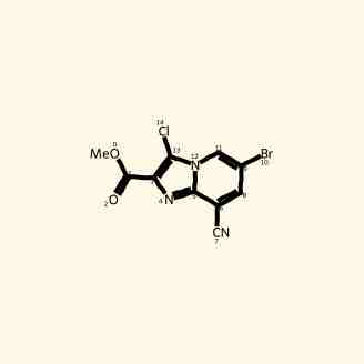 COC(=O)c1nc2c(C#N)cc(Br)cn2c1Cl